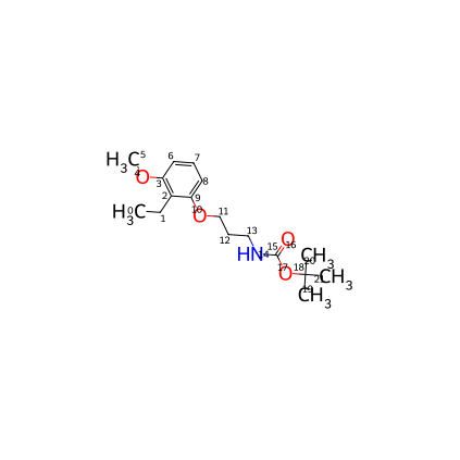 CCc1c(OC)cccc1OCCCNC(=O)OC(C)(C)C